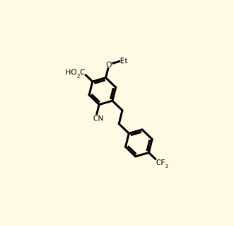 CCOc1cc(CCc2ccc(C(F)(F)F)cc2)c(C#N)cc1C(=O)O